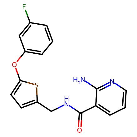 Nc1ncccc1C(=O)NCc1ccc(Oc2cccc(F)c2)s1